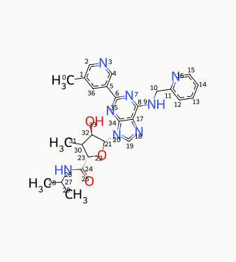 Cc1cncc(-c2nc(NCc3ccccn3)c3ncn([C@@H]4O[C@H](C(=O)NC(C)C)C(C)[C@H]4O)c3n2)c1